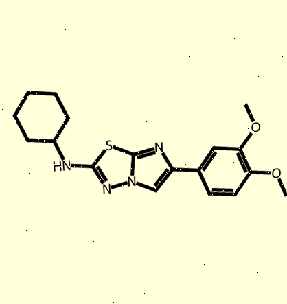 COc1ccc(-c2cn3nc(NC4CCCCC4)sc3n2)cc1OC